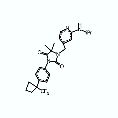 CC(C)Nc1cc(CN2C(=O)N(c3ccc(C4(C(F)(F)F)CCC4)cc3)C(=O)C2(C)C)ccn1